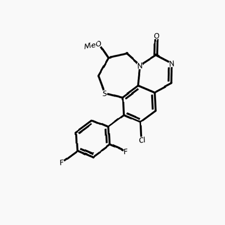 COC1CSc2c(-c3ccc(F)cc3F)c(Cl)cc3cnc(=O)n(c23)C1